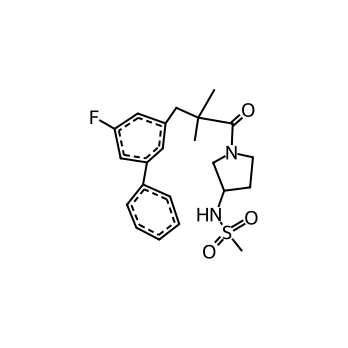 CC(C)(Cc1cc(F)cc(-c2ccccc2)c1)C(=O)N1CCC(NS(C)(=O)=O)C1